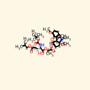 COc1ccc(C)c2c1O[C@H]1C(OC(=O)[C@H](C)OC(O)[C@H](CCC(=O)OCC(C)C)NC(=O)OC(C)(C)C)=CC[C@@]3(O)[C@@H](C)N(C)CC[C@]213